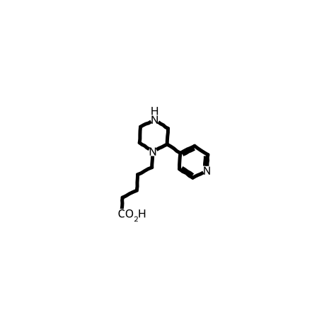 O=C(O)CCCCN1CCNCC1c1ccncc1